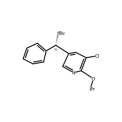 CC(C)Oc1ncc([C@H](c2ccccc2)C(C)(C)C)cc1Cl